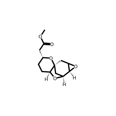 COC(=O)C[C@H]1CC[C@@H]2O[C@H]3C[C@]2(CC2O[C@H]23)O1